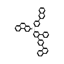 c1ccc(-c2cc(N(c3ccc(-c4ccc5ccccc5c4)cc3)c3ccc4c(ccc5ccccc54)c3)ccc2-c2ccc(-c3cccc4ccccc34)cc2)cc1